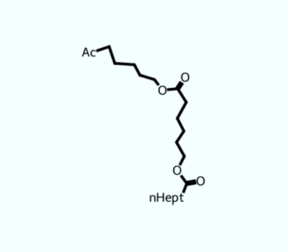 CCCCCCCC(=O)OCCCCCC(=O)OCCCCCC(C)=O